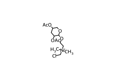 CC(=O)OC1COC(OCC[N+](C)(C)CCl)C(OC(C)=O)C1